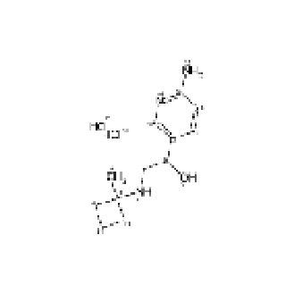 CC1(NCC(O)c2ccc(N)nc2)CCC1.Cl.Cl